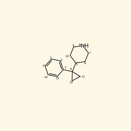 c1ccc(C2(C3CCNCC3)CC2)cc1